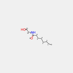 [CH2]CCCCCCC(=O)NCCO